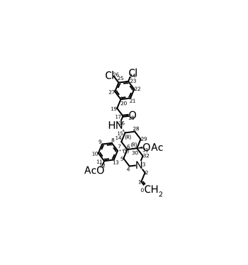 C=CCN1CC[C@@]2(c3cccc(OC(C)=O)c3)C[C@H](NC(=O)Cc3ccc(Cl)c(Cl)c3)CC[C@]2(OC(C)=O)C1